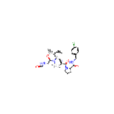 C/C(=C\[C@H](C(C)C)N(C)C(=O)CNC=O)C(=O)N1CCCC1C(=O)NCc1ccc(Cl)cc1